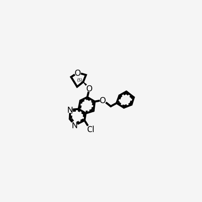 Clc1ncnc2cc(O[C@H]3CCOC3)c(OCc3ccccc3)cc12